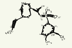 CC#Cc1cncc(C(=O)N=S(C)(=O)c2ccc(C)c(C)c2)c1